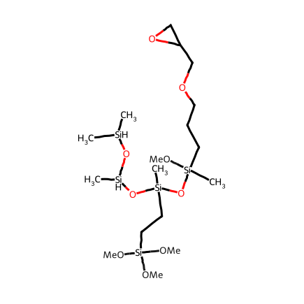 CO[Si](C)(CCCOCC1CO1)O[Si](C)(CC[Si](OC)(OC)OC)O[SiH](C)O[SiH](C)C